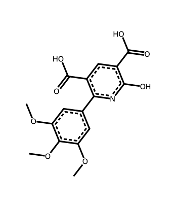 COc1cc(-c2nc(O)c(C(=O)O)cc2C(=O)O)cc(OC)c1OC